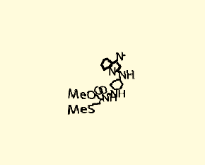 COC(=O)[C@H](CCSC)NC(=O)N[C@H]1CC[C@@H](Nc2cc(N(C)C)c3ccccc3n2)CC1